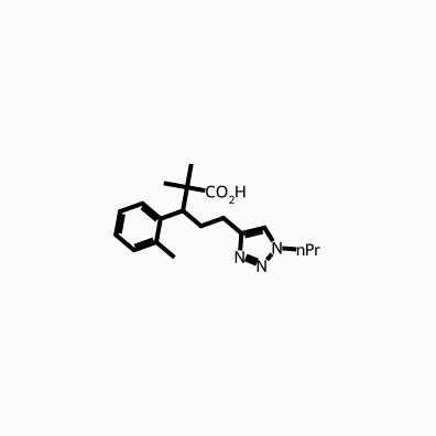 CCCn1cc(CCC(c2ccccc2C)C(C)(C)C(=O)O)nn1